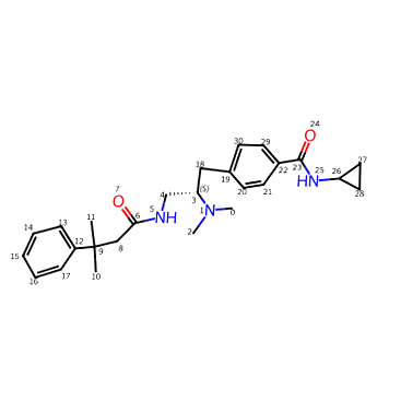 CN(C)[C@H](CNC(=O)CC(C)(C)c1ccccc1)Cc1ccc(C(=O)NC2CC2)cc1